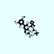 CNc1ncc2cc(-c3cc(OC)cc(OC)c3Cl)c(=O)n(C3N(C(=O)OC(C)(C)C)CC34CCC4)c2n1